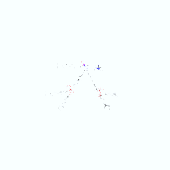 CCCCCCCC(=O)N(CCCN(C)C)C(CCCCCCCCC(=O)OC(CCCCC)CCCCCC)CCCCCCCCC(=O)OC(CCCCCC)CCCCCC